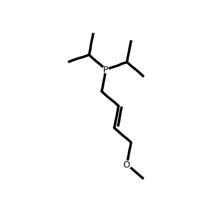 COCC=CCP(C(C)C)C(C)C